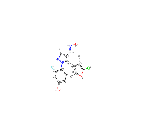 Cc1nn(-c2ccc(O)cc2F)c(-c2c(C)oc(Cl)c2C)c1C=NO